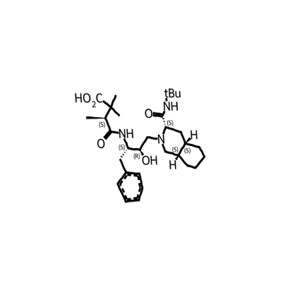 C[C@H](C(=O)N[C@@H](Cc1ccccc1)[C@H](O)CN1C[C@H]2CCCC[C@H]2C[C@H]1C(=O)NC(C)(C)C)C(C)(C)C(=O)O